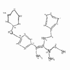 N/C(=C(/NCc1ccccc1)N(N)SS)c1ccc(OC2CCCCC2)cc1